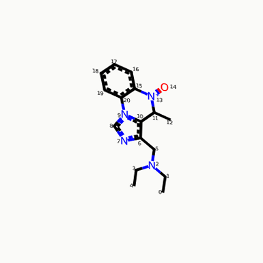 CCN(CC)Cc1ncn2c1C(C)[N+](=O)c1ccccc1-2